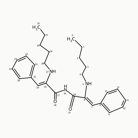 CCCCCNC(=Cc1ccccc1)C(=O)NC(=O)C(=Cc1ccccc1)NCCCCC